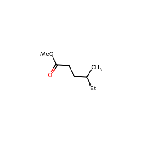 CC[C@H](C)CCC(=O)OC